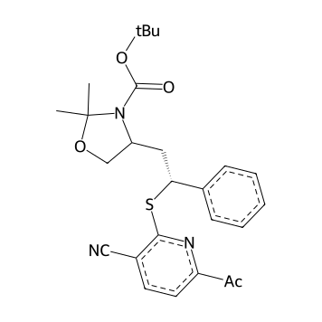 CC(=O)c1ccc(C#N)c(S[C@H](CC2COC(C)(C)N2C(=O)OC(C)(C)C)c2ccccc2)n1